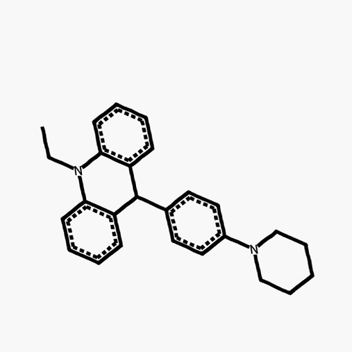 CCN1c2ccccc2C(c2ccc(N3CCCCC3)cc2)c2ccccc21